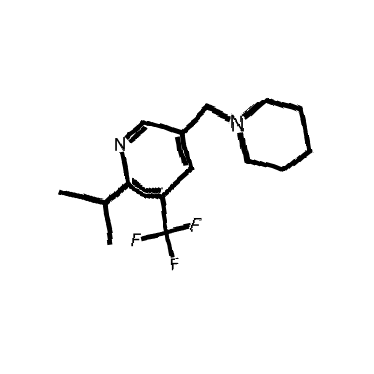 CC(C)c1ncc(CN2CCCCC2)cc1C(F)(F)F